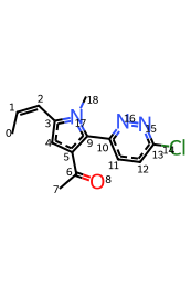 C/C=C\c1cc(C(C)=O)c(-c2ccc(Cl)nn2)n1C